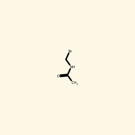 CC(=O)NCBr